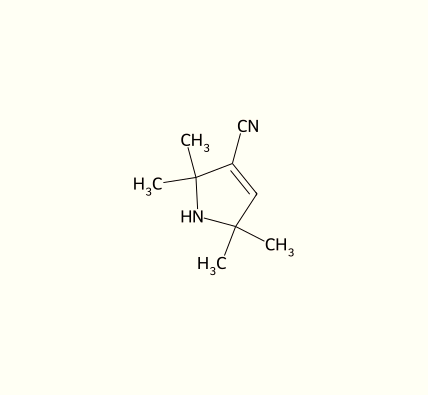 CC1(C)C=C(C#N)C(C)(C)N1